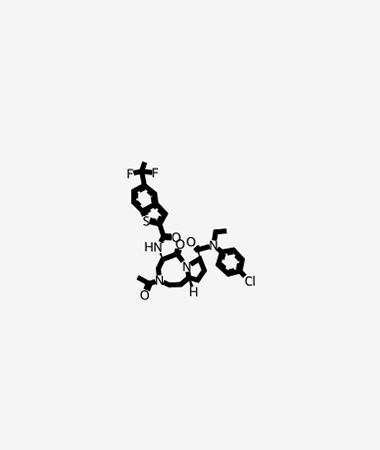 CCN(C(=O)[C@@H]1CC[C@@H]2CCN(C(C)=O)C[C@H](NC(=O)c3cc4cc(C(C)(F)F)ccc4s3)C(=O)N21)c1ccc(Cl)cc1